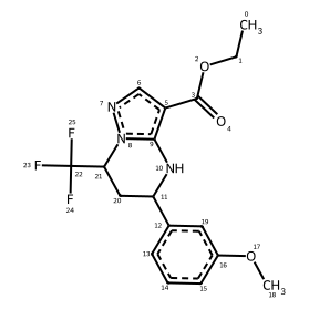 CCOC(=O)c1cnn2c1NC(c1cccc(OC)c1)CC2C(F)(F)F